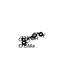 COc1c(Cl)cc(C(N)=O)c(OCCNCC2(O)CCN(Cc3ccc(F)cc3)CC2)c1C